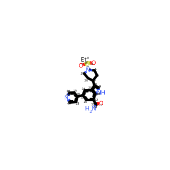 CCS(=O)(=O)N1CCC(c2c[nH]c3c(C(N)=O)cc(-c4ccncc4)cc23)CC1